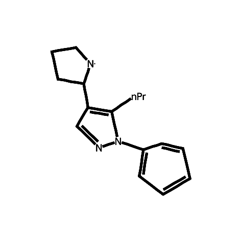 CCCc1c(C2CCC[N]2)cnn1-c1ccccc1